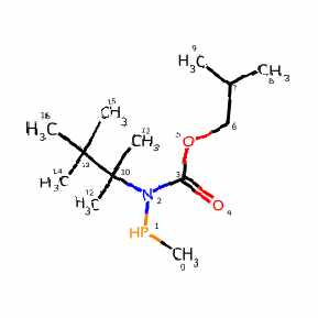 CPN(C(=O)OCC(C)C)C(C)(C)C(C)(C)C